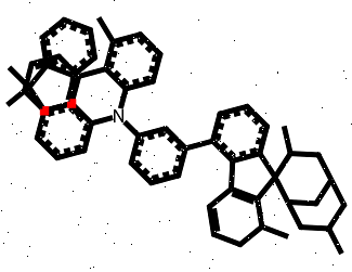 CC1=C(c2c(C)cccc2N(c2cccc(-c3cccc4c3C3=C(C(C)CC=C3)C43C(C)CC4CC(C)CC3C4)c2)c2cccc3c2-c2ccccc2C3(C)C)C=CCC1